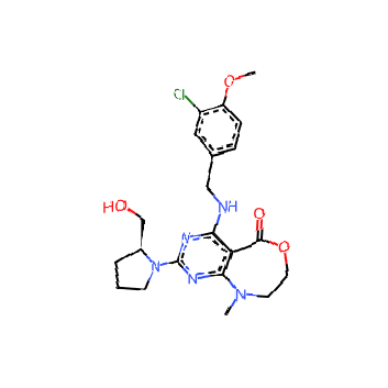 COc1ccc(CNc2nc(N3CCC[C@H]3CO)nc3c2C(=O)OCCN3C)cc1Cl